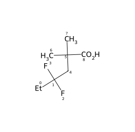 CCC(F)(F)CC(C)(C)C(=O)O